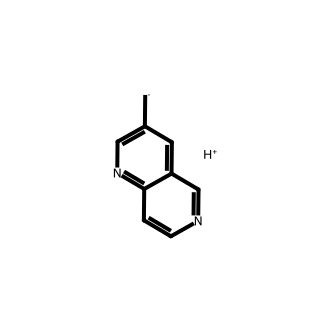 [CH2]c1cnc2ccncc2c1.[H+]